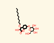 CCCCCCCCCCOc1c(O)c(=O)oc2cc(O[C@H]3O[C@H](CO)[C@@H](O)[C@H](O)[C@@H]3O)ccc12